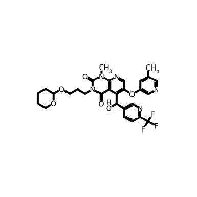 Cc1cncc(Oc2cnc3c(c2C(O)c2ccc(C(F)(F)F)nc2)c(=O)n(CCCOC2CCCCO2)c(=O)n3C)c1